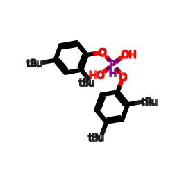 CC(C)(C)c1ccc(O[PH](O)(O)Oc2ccc(C(C)(C)C)cc2C(C)(C)C)c(C(C)(C)C)c1